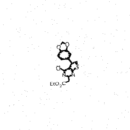 CCOC(=O)Cc1nc(Cl)c2c(-c3ccc4c(c3)OCO4)csc2n1